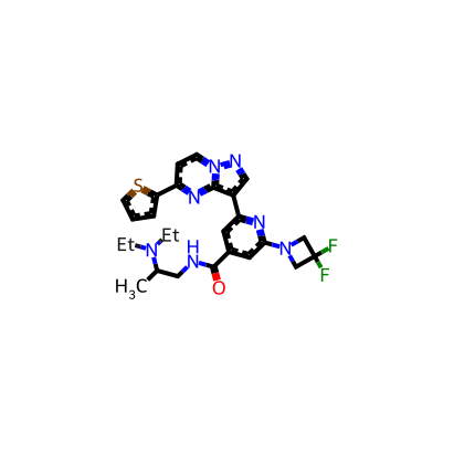 CCN(CC)C(C)CNC(=O)c1cc(-c2cnn3ccc(-c4cccs4)nc23)nc(N2CC(F)(F)C2)c1